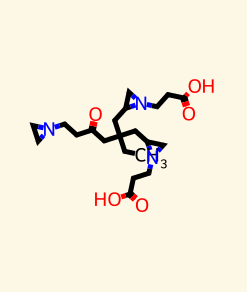 CCC(CC(=O)CCN1CC1)(CC1CN1CCC(=O)O)CC1CN1CCC(=O)O